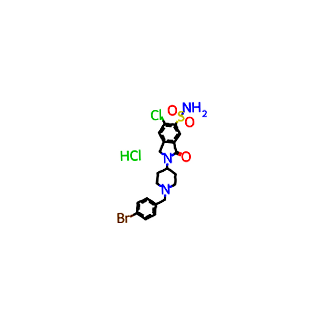 Cl.NS(=O)(=O)c1cc2c(cc1Cl)CN(C1CCN(Cc3ccc(Br)cc3)CC1)C2=O